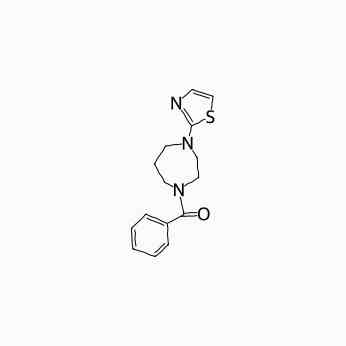 O=C(c1ccccc1)N1CCCN(c2nccs2)CC1